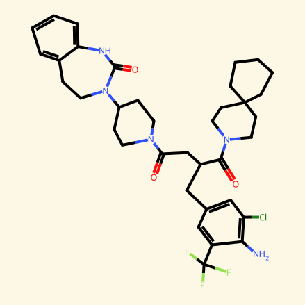 Nc1c(Cl)cc(CC(CC(=O)N2CCC(N3CCc4ccccc4NC3=O)CC2)C(=O)N2CCC3(CCCCC3)CC2)cc1C(F)(F)F